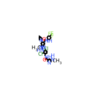 CNc1cncc(C(=O)NCc2ccc(Cl)c(Nc3nc4cc(C(=O)NC5CCC(C(F)(F)F)CC5)c(N5CC6CC6C5)cc4n3C)c2Cl)c1